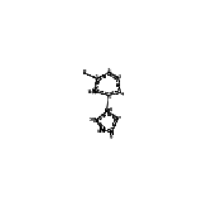 Cc1cccc(-n2cnnn2)n1